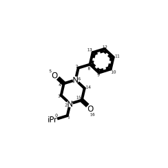 CC(C)CN1CC(=O)N(Cc2ccccc2)CC1=O